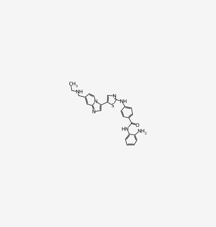 CCNCc1ccn2c(-c3cnc(Nc4ccc(C(=O)Nc5ccccc5N)cc4)s3)cnc2c1